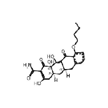 CCCCOc1cccc2c1C(=O)C1=C(O)[C@]3(O)C(=O)C(C(N)=O)=C(O)C[C@@H]3C[C@@H]1C2